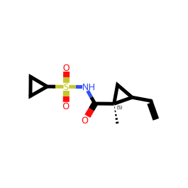 C=CC1C[C@]1(C)C(=O)NS(=O)(=O)C1CC1